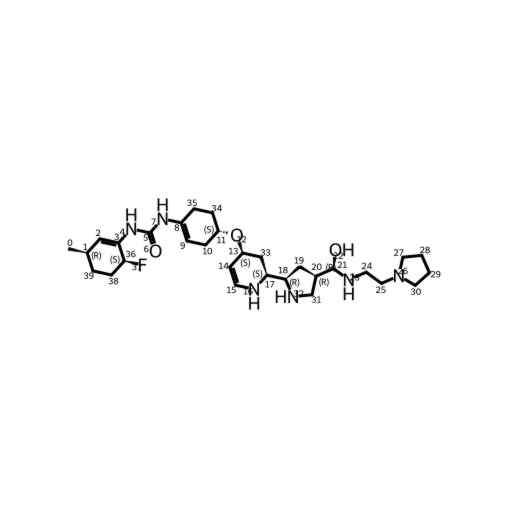 C[C@H]1C=C(NC(=O)NC2=CC[C@@H](O[C@@H]3C=CN[C@H]([C@H]4C[C@@H]([C@@H](O)NCCN5CCCC5)CN4)C3)CC2)[C@@H](F)CC1